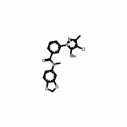 Cc1nn(-c2cccc(C(=O)N(C)c3ccc4c(c3)OCO4)c2)c(C(C)(C)C)c1Cl